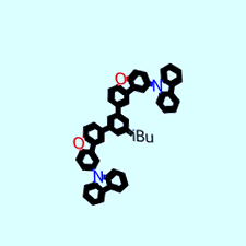 CCC(C)c1cc(-c2ccc3oc4ccc(-n5c6ccccc6c6ccccc65)cc4c3c2)cc(-c2ccc3oc4ccc(-n5c6ccccc6c6ccccc65)cc4c3c2)c1